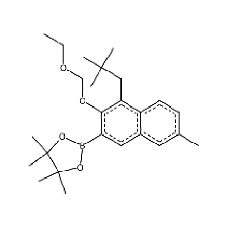 CCOCOc1c(B2OC(C)(C)C(C)(C)O2)cc2cc(C)ccc2c1CC(C)(C)C